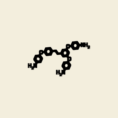 Nc1ccc(Oc2ccc(CCc3cc(Oc4ccc(N)cc4)cc(Oc4ccc(N)cc4)c3)cc2)cc1